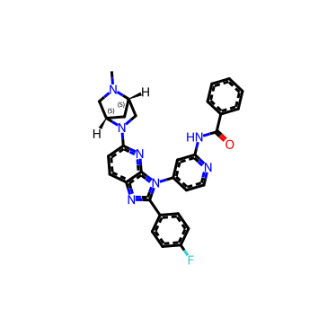 CN1C[C@@H]2C[C@H]1CN2c1ccc2nc(-c3ccc(F)cc3)n(-c3ccnc(NC(=O)c4ccccc4)c3)c2n1